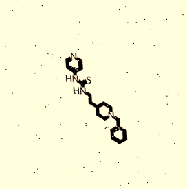 S=C(NCCC1CCN(Cc2ccccc2)CC1)Nc1ccncc1